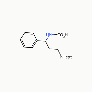 CCCCCCCCCC(NC(=O)O)c1ccccc1